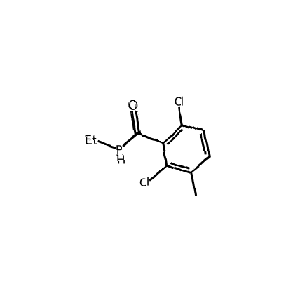 CCPC(=O)c1c(Cl)ccc(C)c1Cl